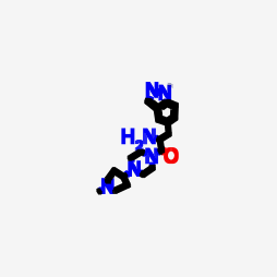 CN1CCC(N2CCN(C(=O)C(N)Cc3ccc4c(cnn4C)c3)CC2)CC1